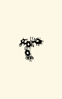 CC1CCC(=O)C1Cc1cc2[nH]c(-c3ccccn3)nc2cc1Oc1ccc(S(C)(=O)=O)cc1